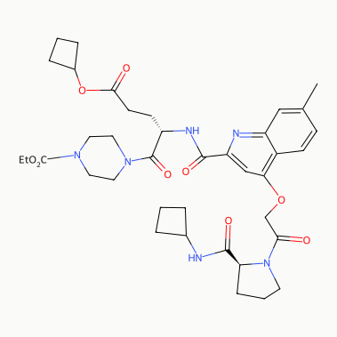 CCOC(=O)N1CCN(C(=O)[C@H](CCC(=O)OC2CCC2)NC(=O)c2cc(OCC(=O)N3CCC[C@H]3C(=O)NC3CCC3)c3ccc(C)cc3n2)CC1